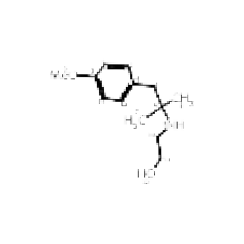 COc1ccc(CC(C)(C)NCCO)cc1